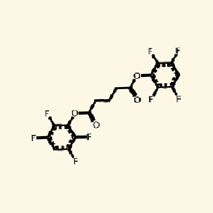 O=C(CCCC(=O)Oc1c(F)c(F)cc(F)c1F)Oc1c(F)c(F)cc(F)c1F